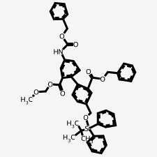 COCOC(=O)c1cc(NC(=O)OCc2ccccc2)ccc1-c1ccc(CO[Si](c2ccccc2)(c2ccccc2)C(C)(C)C)cc1C(=O)OCc1ccccc1